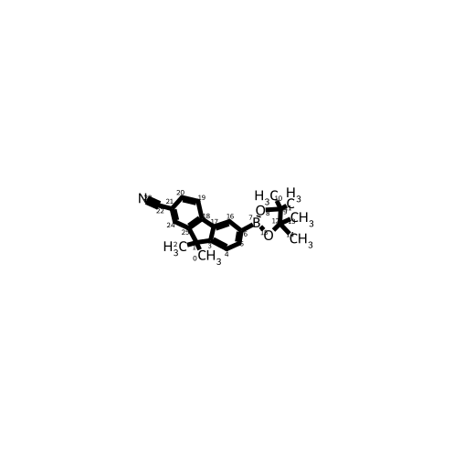 CC1(C)c2ccc(B3OC(C)(C)C(C)(C)O3)cc2-c2ccc(C#N)cc21